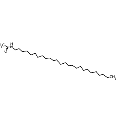 CCCCCCCCCCCCCCCCCCCCCCCCCCNC(C)=O